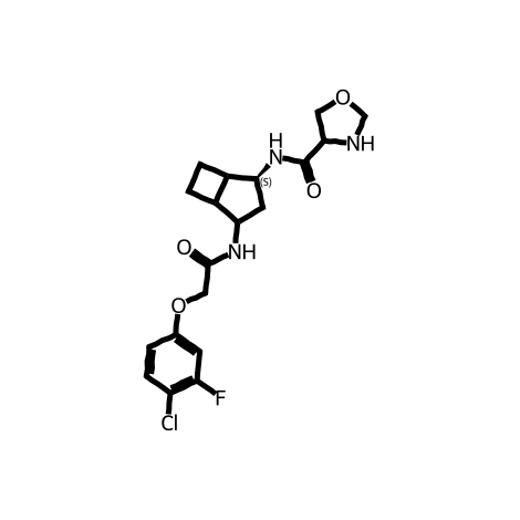 O=C(COc1ccc(Cl)c(F)c1)NC1C[C@H](NC(=O)C2COCN2)C2CCC12